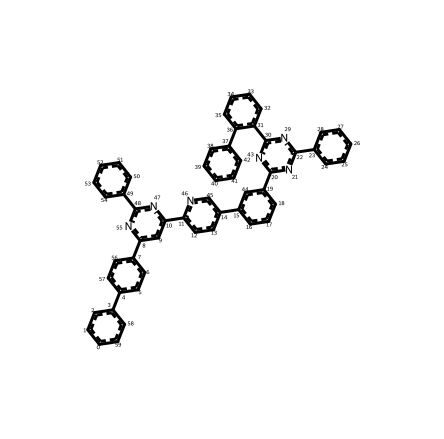 c1ccc(-c2ccc(-c3cc(-c4ccc(-c5cccc(-c6nc(-c7ccccc7)nc(-c7ccccc7-c7ccccc7)n6)c5)cn4)nc(-c4ccccc4)n3)cc2)cc1